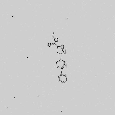 CCOC(=O)C1CC(c2ccc(-c3ccccc3)nc2)=NO1